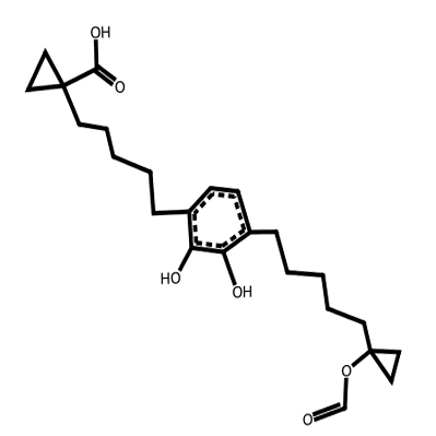 O=COC1(CCCCCc2ccc(CCCCCC3(C(=O)O)CC3)c(O)c2O)CC1